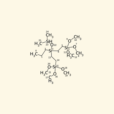 CCC[Si](CC[Si](OC)(OC)OC)(CC[Si](OC)(OC)OC)O[SiH](C)C